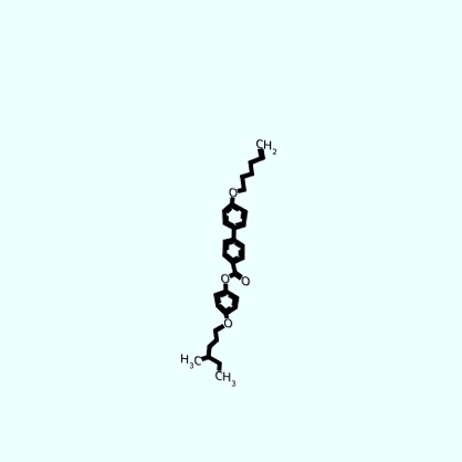 C=CCCCCOc1ccc(-c2ccc(C(=O)Oc3ccc(OCCCC(C)CC)cc3)cc2)cc1